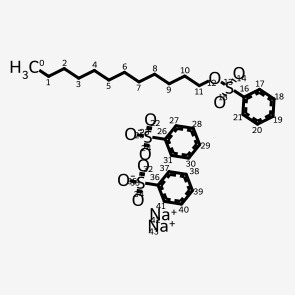 CCCCCCCCCCCCOS(=O)(=O)c1ccccc1.O=S(=O)([O-])c1ccccc1.O=S(=O)([O-])c1ccccc1.[Na+].[Na+]